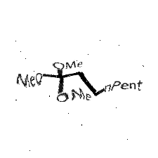 CCCCCC=CC(OC)(OC)OC